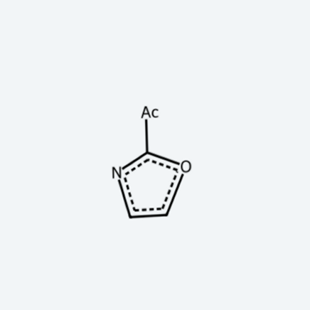 [CH2]C(=O)c1ncco1